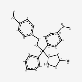 COc1ccc(COC(c2ccccc2)(c2ccc(OC)cc2)C2CC(O)CN2)cc1